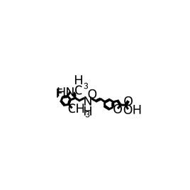 Cc1[nH]c2c(F)ccc(C)c2c1CCNC(=O)/C=C/c1ccc2oc(C(=O)O)cc2c1